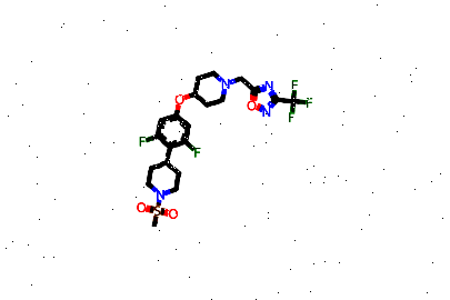 CS(=O)(=O)N1CCC(c2c(F)cc(OC3CCN(Cc4nc(C(F)(F)F)no4)CC3)cc2F)CC1